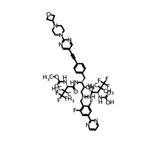 COC(=O)N[C@H](C(=O)N[C@@H](Cc1ccc(C#Cc2cnc(N3CCN(C4COC4)CC3)nc2)cc1)[C@@H](O)CN(Cc1c(F)cc(-c2ncccn2)cc1F)NC(=O)[C@@H](NC(=O)O)C(C)(C)C(F)(F)F)C(C)(C)C(F)(F)F